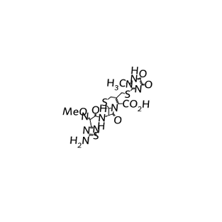 CO/N=C(\C(=O)N[C@@H]1C(=O)N2C(C(=O)O)=C(CSc3nc(=O)c(=O)[nH]n3C)CS[C@H]12)c1nsc(N)n1